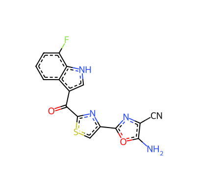 N#Cc1nc(-c2csc(C(=O)c3c[nH]c4c(F)cccc34)n2)oc1N